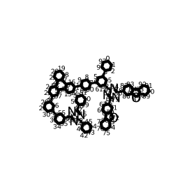 c1ccc(-c2cc(-c3ccc(-c4ccc5c(c4)c4ccccc4c4ccc(-c6cccc(-c7cccc(-c8nc(-c9ccccc9)nc(-c9ccccc9)n8)c7)c6)cc45)cc3)cc(-c3nc(-c4ccc5c(c4)oc4ccccc45)nc(-c4ccc5c(c4)oc4ccccc45)n3)c2)cc1